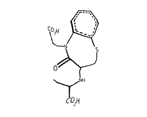 CC(NC1CSc2ccccc2N(CC(=O)O)C1=O)C(=O)O